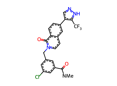 CNC(=O)c1cc(Cl)cc(Cn2ccc3cc(-c4cn[nH]c4C(F)(F)F)ccc3c2=O)c1